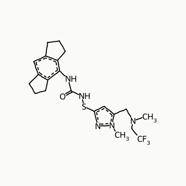 CN(Cc1cc(SNC(=O)Nc2c3c(cc4c2CCC4)CCC3)nn1C)CC(F)(F)F